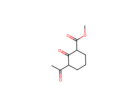 COC(=O)C1CCCC(C(C)=O)C1=O